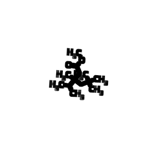 COC(=O)CC(C)(CC(C)(C)C)C(C)C